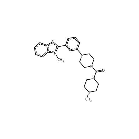 CN1CCN(C(=O)N2CCN(c3cccc(-c4nc5ccccc5n4C)c3)CC2)CC1